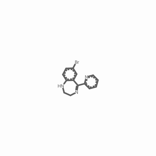 Brc1ccc2c(c1)C(c1ccccn1)=NCCN2